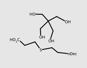 CCCCCCCCCCCCSCCC(=O)O.OCC(CO)(CO)CO